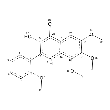 COc1ccccc1-c1[nH]c2c(OC)c(OC)c(OC)cc2c(=O)c1O